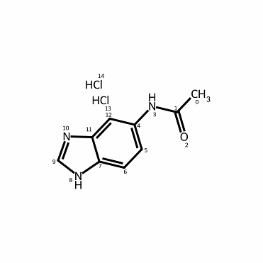 CC(=O)Nc1ccc2[nH]cnc2c1.Cl.Cl